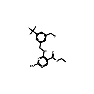 CCOC(=O)c1cnc(S)nc1NCc1cc(CF)cc(C(F)(F)F)c1